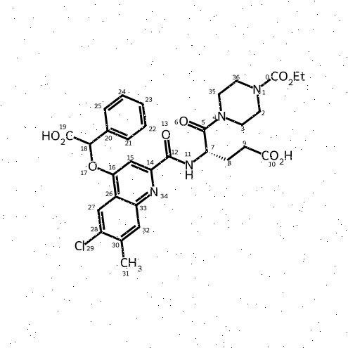 CCOC(=O)N1CCN(C(=O)[C@H](CCC(=O)O)NC(=O)c2cc(OC(C(=O)O)c3ccccc3)c3cc(Cl)c(C)cc3n2)CC1